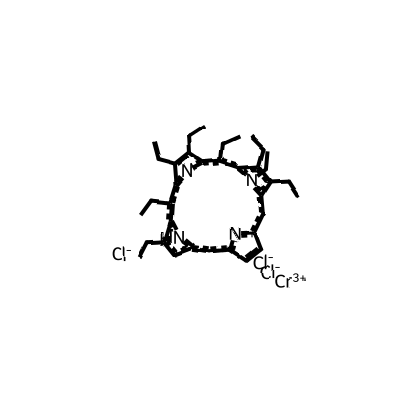 CCC1=C(CC)c2nc1c(CC)c1[nH]c(cc3nc(cc4c(CC)c(CC)c(c2CC)n4CC)C=C3)cc1CC.[Cl-].[Cl-].[Cl-].[Cr+3]